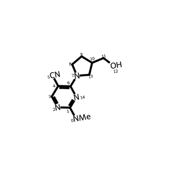 CNc1ncc(C#N)c(N2CCC(CO)C2)n1